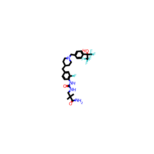 CC(C)(CNC(=O)Nc1ccc(CC2CCN(Cc3ccc(C(O)(C(F)(F)F)C(F)(F)F)cc3)CC2)cc1F)C(N)=O